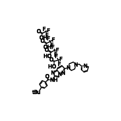 CC(C)(C)c1ccc(C(=O)Nc2cn3nc(N4CCN(Cc5ccccn5)CC4)ccc3n2)cc1.O=C(O)C(F)(F)F.O=C(O)C(F)(F)F.O=C(O)C(F)(F)F.O=C(O)C(F)(F)F